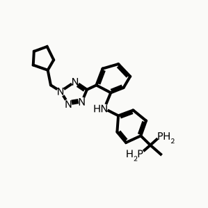 CC(P)(P)c1ccc(Nc2ccccc2-c2nnn(CC3CCCC3)n2)cc1